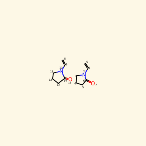 C=CN1CCCC1=O.C=CN1CCCC1=O